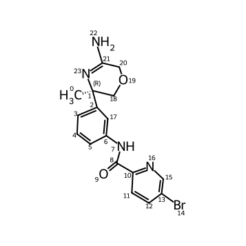 C[C@@]1(c2cccc(NC(=O)c3ccc(Br)cn3)c2)COCC(N)=N1